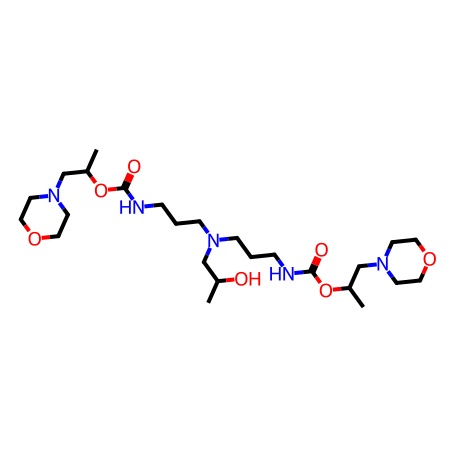 CC(O)CN(CCCNC(=O)OC(C)CN1CCOCC1)CCCNC(=O)OC(C)CN1CCOCC1